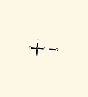 C[O].F[B-](F)(F)F